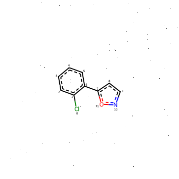 Clc1ccccc1-c1ccno1